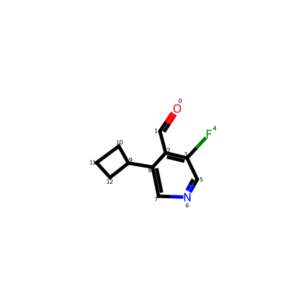 O=Cc1c(F)cncc1C1CCC1